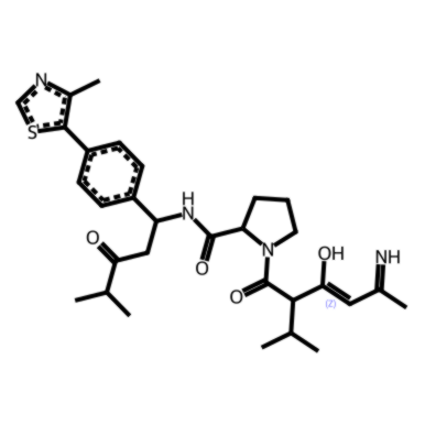 CC(=N)/C=C(\O)C(C(=O)N1CCCC1C(=O)NC(CC(=O)C(C)C)c1ccc(-c2scnc2C)cc1)C(C)C